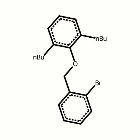 CCCCc1cccc(CCCC)c1OCc1ccccc1Br